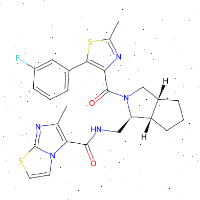 Cc1nc(C(=O)N2C[C@@H]3CCC[C@@H]3[C@H]2CNC(=O)c2c(C)nc3sccn23)c(-c2cccc(F)c2)s1